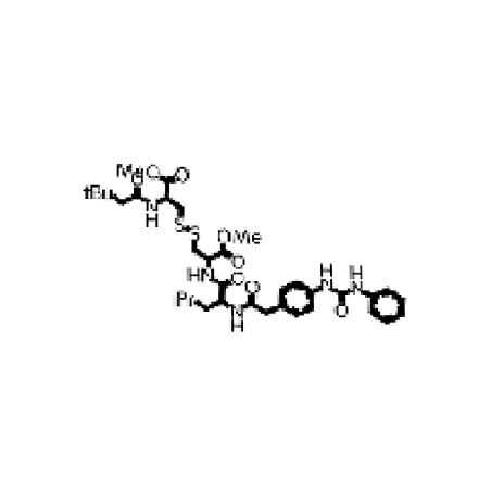 COC(=O)C(CSSCC(NC(=O)C(CC(C)C)NC(=O)Cc1ccc(NC(=O)Nc2ccccc2)cc1)C(=O)OC)NC(=O)CC(C)(C)C